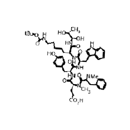 CN[C@@H](Cc1ccccc1)C(=O)N(C)[C@@H](CCC(=O)O)C(=O)N[C@@H](Cc1ccc(O)cc1)C(=O)N[C@H](Cc1c[nH]c2ccccc12)C(=O)N[C@@H](CCCCCNC(=O)OC(C)(C)C)C(=O)N[C@H](O)[C@@H](C)O